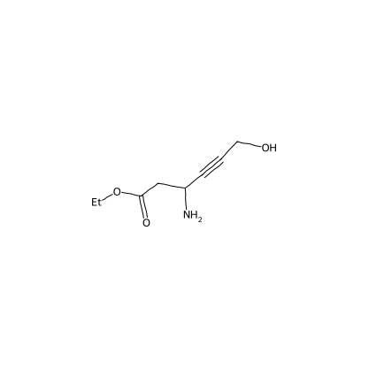 CCOC(=O)CC(N)C#CCO